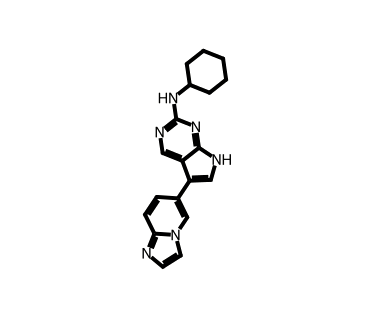 c1cn2cc(-c3c[nH]c4nc(NC5CCCCC5)ncc34)ccc2n1